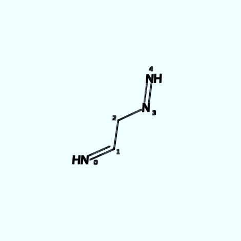 N=CCN=N